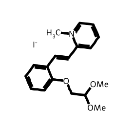 COC(COc1ccccc1/C=C/c1cccc[n+]1C)OC.[I-]